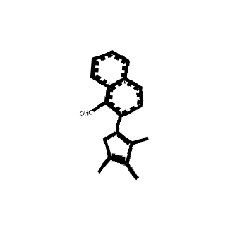 CC1=C(C)C(C)=C(c2ccc3ccccc3c2C=O)C1